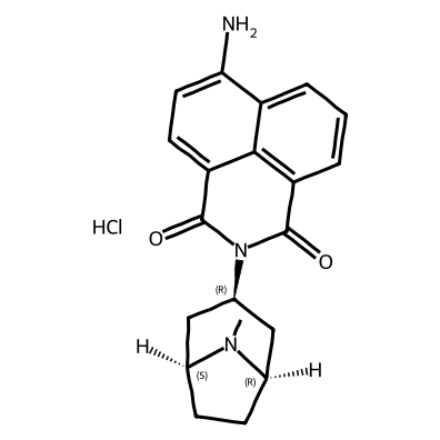 CN1[C@@H]2CC[C@H]1C[C@@H](N1C(=O)c3cccc4c(N)ccc(c34)C1=O)C2.Cl